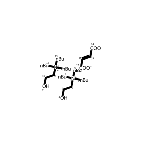 CCCC[N+](CCO)(CCCC)CCCC.CCCC[N+](CCO)(CCCC)CCCC.O=C([O-])C=CC(=O)[O-]